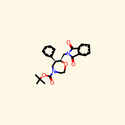 CC(C)(C)OC(=O)N1CCO[C@H](CN2C(=O)c3ccccc3C2=O)[C@H](c2ccccc2)C1